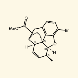 COC(=O)N1CC[C@]23c4c5ccc(Br)c4O[C@H]2[C@@H](C)C=C[C@H]3C1C5